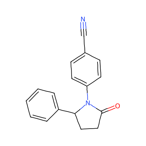 N#Cc1ccc(N2C(=O)CCC2c2ccccc2)cc1